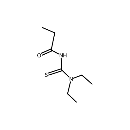 CCC(=O)NC(=S)N(CC)CC